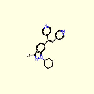 CCc1nn(C2CCCCC2)c2cc(C(=Cc3ccncc3)c3ccncc3)ccc12